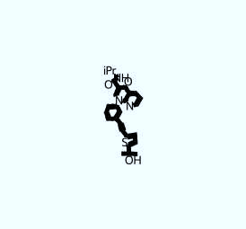 CC(C)NC(=O)c1cn(-c2cccc(C#Cc3ccc(C(C)(C)O)s3)c2)c2ncccc2c1=O